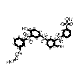 O=S(=O)(O)c1cccc(S(=O)(=O)c2cc(S(=O)(=O)c3ccc(O)c(S(=O)(=O)c4cccc(SOOO)c4)c3)ccc2O)c1